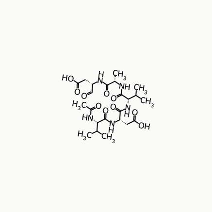 CC(=O)N[C@H](C(=O)N[C@@H](CC(=O)O)C(=O)N[C@H](C(=O)N[C@@H](C)C(=O)N[C@H](C=O)CC(=O)O)C(C)C)C(C)C